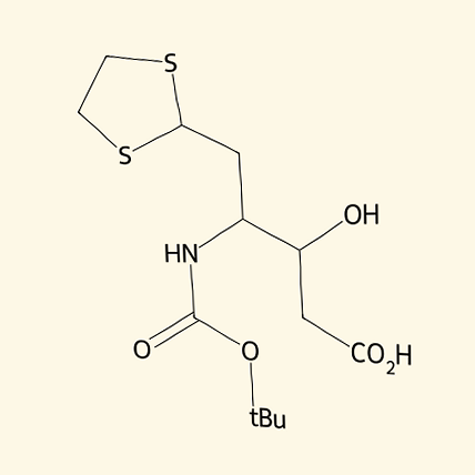 CC(C)(C)OC(=O)NC(CC1SCCS1)C(O)CC(=O)O